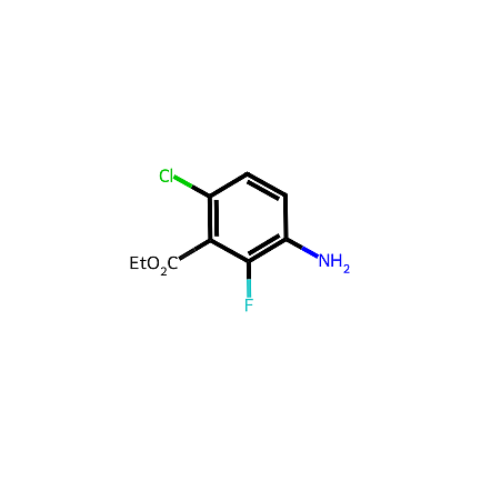 CCOC(=O)c1c(Cl)ccc(N)c1F